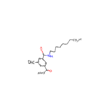 COC(=O)c1cc(C=O)cc(C(=O)NCCCCCCCC(=O)O)c1